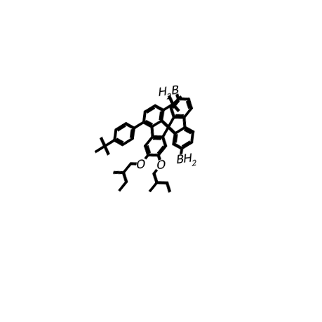 Bc1ccc2c(c1)C1(c3cc(B)ccc3-2)c2cc(OCC(C)CC)c(OCC(C)CC)cc2-c2c(-c3ccc(C(C)(C)C)cc3)ccc(C(C)(C)C)c21